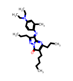 CCCCCc1c(CCC)nc2n(c1=O)N=C(CCC)C2=Nc1ccc(N(CC)CC)cc1C